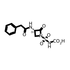 O=C(O)NS(=O)(=O)N1C[C@H](NC(=O)Cc2ccccc2)C1=O